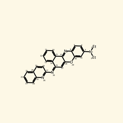 CCN(CC)c1ccc2nc3c4ccccc4/c(=N\c4ccc5ccccc5n4)cc-3oc2c1